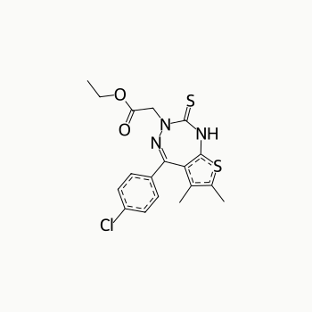 CCOC(=O)CN1N=C(c2ccc(Cl)cc2)c2c(sc(C)c2C)NC1=S